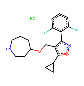 Cl.Fc1cccc(F)c1-c1noc(C2CC2)c1COC1CCCNCC1